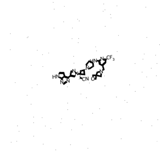 N#CC[C@]1(n2cc(-c3ncnc4[nH]ccc34)cn2)C[C@H](N2CCC(Nc3cc(CN4CC5(COC5)C4)cc(C(F)(F)F)n3)CC2)C1